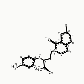 COC(=O)C(CCn1nnc2ccc(C)cc2c1=O)Sc1ccc(N)cc1